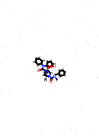 CN(Cc1ccccc1)C(=O)N1C[C@]2(C(=O)O)CC[C@H]1CN2C(=O)N(c1ccccc1)c1ccccc1